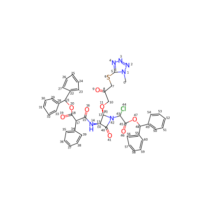 Cn1nnnc1SCC(=O)CO[C@@H]1[C@H](NC(=O)C(C(=O)OC(c2ccccc2)c2ccccc2)c2ccccc2)C(=O)N1C(Cl)C(=O)OC(c1ccccc1)c1ccccc1